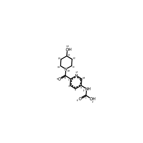 O=C(O)Nc1ccc(C(=O)N2CCC(O)CC2)nc1